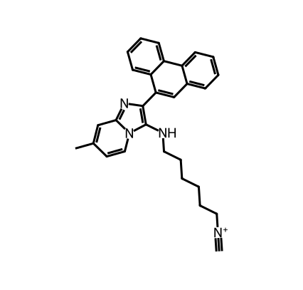 C#[N+]CCCCCCNc1c(-c2cc3ccccc3c3ccccc23)nc2cc(C)ccn12